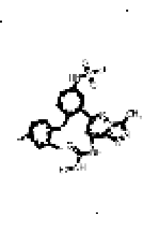 CCNC(=O)Nc1cc(-c2cc(NS(=O)(=O)CC)ccc2Oc2ccc(F)cc2F)nn2c(C)nnc12